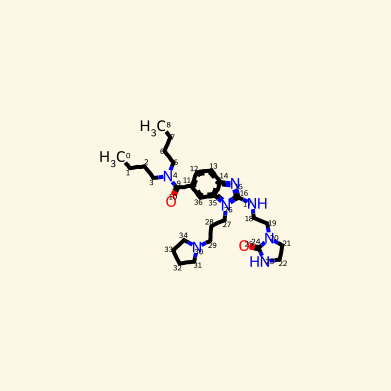 CCCCN(CCCC)C(=O)c1ccc2nc(NCCN3CCNC3=O)n(CCCN3CCCC3)c2c1